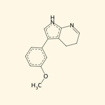 COc1cccc(-c2c[nH]c3c2CCC=N3)c1